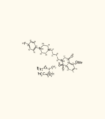 C=C.CCOC(C)OCC.COc1cccc2c1C(=O)CN(CCCCN1CCN(c3ccc(F)cc3)CC1)S2(=O)=O